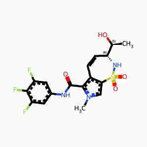 C[C@H](O)[C@H]1C=Cc2c(cn(C)c2C(=O)Nc2cc(F)c(F)c(F)c2)S(=O)(=O)N1